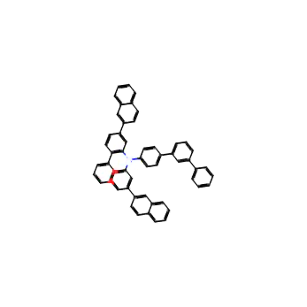 c1ccc(-c2cccc(-c3ccc(N(c4cccc(-c5ccc6ccccc6c5)c4)c4cc(-c5ccc6ccccc6c5)ccc4-c4ccccc4)cc3)c2)cc1